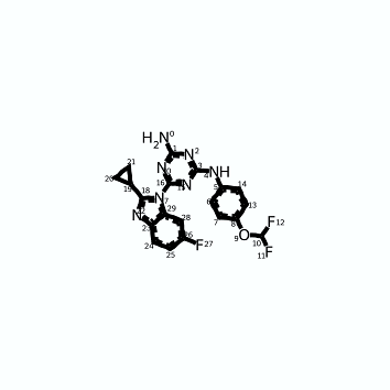 Nc1nc(Nc2ccc(OC(F)F)cc2)nc(-n2c(C3CC3)nc3ccc(F)cc32)n1